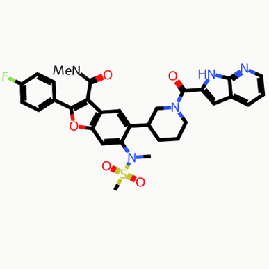 CNC(=O)c1c(-c2ccc(F)cc2)oc2cc(N(C)S(C)(=O)=O)c(C3CCCN(C(=O)c4cc5cccnc5[nH]4)C3)cc12